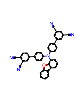 N#Cc1cc(C#N)cc(-c2ccc(N(c3ccc(-c4ccc(C#N)c(C#N)c4)cc3)c3cccc4c3oc3ccccc34)cc2)c1